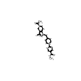 COC(=O)c1cnc(N2CCC(Cn3nc(I)c4c3CCN(C(C)=O)C4)CC2)nc1